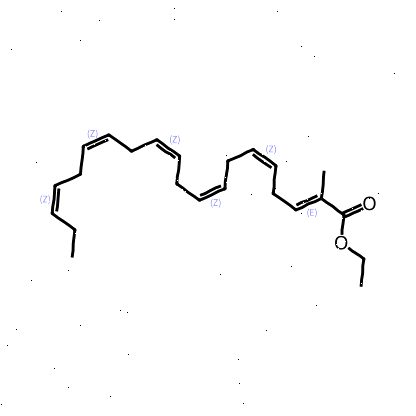 CC/C=C\C/C=C\C/C=C\C/C=C\C/C=C\C/C=C(\C)C(=O)OCC